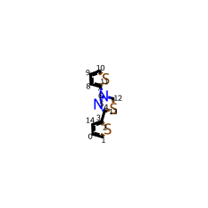 c1csc(C2=NN(c3cccs3)CS2)c1